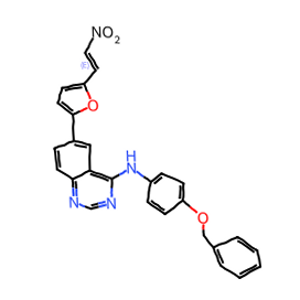 O=[N+]([O-])/C=C/c1ccc(-c2ccc3ncnc(Nc4ccc(OCc5ccccc5)cc4)c3c2)o1